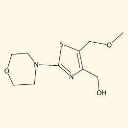 COCc1sc(N2CCOCC2)nc1CO